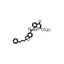 CCOC(=O)c1cc(=O)c2cccc(NC(=O)c3ccc4c(c3)CC(CCCc3ccccc3)O4)c2o1